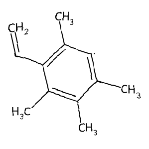 C=Cc1c(C)[c]c(C)c(C)c1C